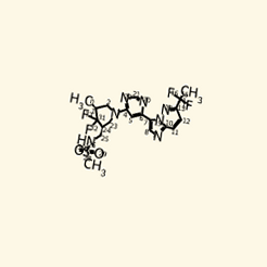 C[C@H]1CN(c2cc(-c3cnc4ccc(C(C)(F)F)nn34)ncn2)C[C@@H](CNS(C)(=O)=O)C1(F)F